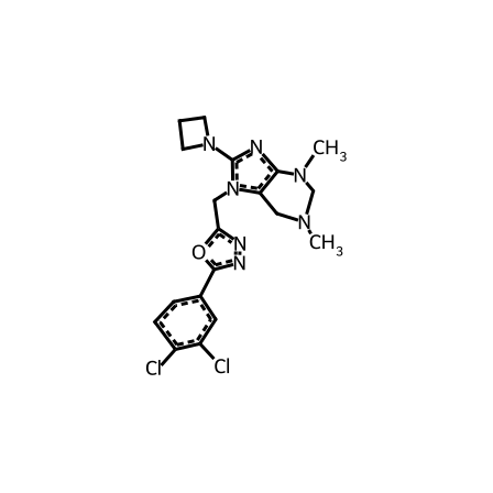 CN1Cc2c(nc(N3CCC3)n2Cc2nnc(-c3ccc(Cl)c(Cl)c3)o2)N(C)C1